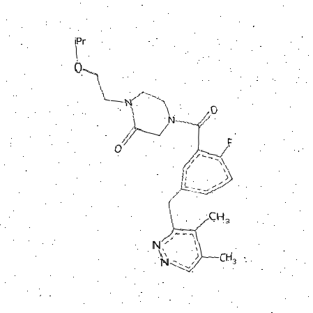 Cc1[c]nnc(Cc2ccc(F)c(C(=O)N3CCN(CCOC(C)C)C(=O)C3)c2)c1C